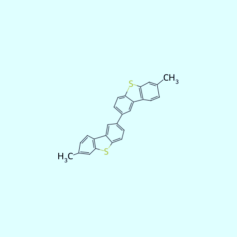 Cc1ccc2c(c1)sc1ccc(-c3ccc4sc5cc(C)ccc5c4c3)cc12